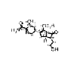 CN1C[C@H](C2=C(C(=O)O)N3C(=O)[C@@H](CCO)[C@H]3C2)CN=C1C(N)=O